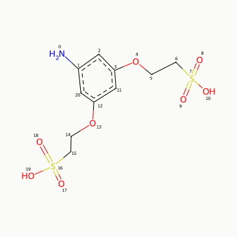 Nc1cc(OCCS(=O)(=O)O)cc(OCCS(=O)(=O)O)c1